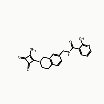 Nc1c(N2CCc3ccc(CNC(=O)c4cccnc4O)cc3C2)c(=O)c1=O